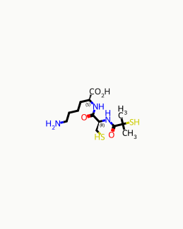 CC(C)(S)C(=O)N[C@@H](CS)C(=O)N[C@@H](CCCCN)C(=O)O